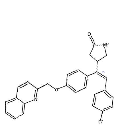 O=C1CC(/C(=C/c2ccc(Cl)cc2)c2ccc(OCc3ccc4ccccc4n3)cc2)CN1